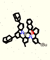 Cc1cc2c3c(c1)N(c1ccc(C(C)(C)C)cc1-c1ccccc1)c1oc4cc5ccccc5cc4c1B3n1c3ccc(C45CC6CC(CC(C6)C4)C5)cc3c3cc(C45CC6CC(CC(C6)C4)C5)cc-2c31